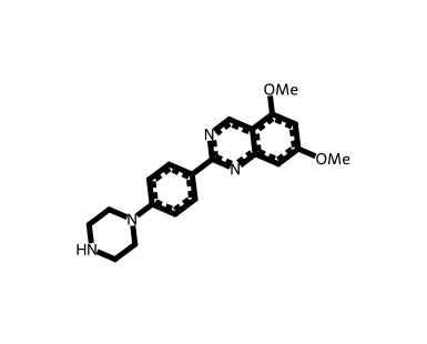 COc1cc(OC)c2cnc(-c3ccc(N4CCNCC4)cc3)nc2c1